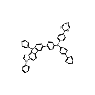 c1ccc(-c2ccc(N(c3ccc(-c4ccc5c(c4)c4ccc6c(ccn6-c6ccccc6)c4n5-c4ccccc4)cc3)c3ccc(-c4ncncn4)cc3)cc2)cc1